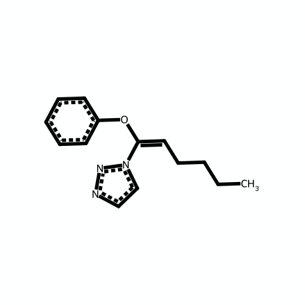 CCCCC=C(Oc1ccccc1)n1ccnn1